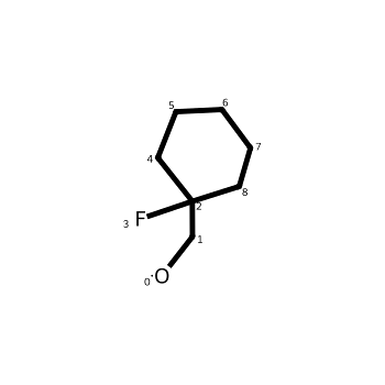 [O]CC1(F)CCCCC1